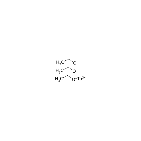 CC[O-].CC[O-].CC[O-].[Tb+3]